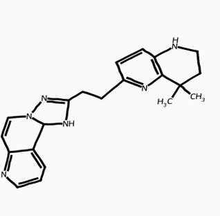 CC1(C)CCNc2ccc(CCC3=NN4C=Cc5ncccc5C4N3)nc21